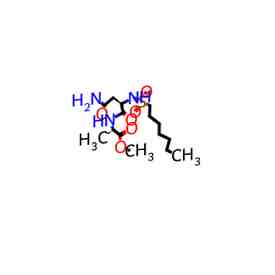 CCCCCCCS(=O)(=O)N[C@H](CC(N)=O)C(=O)N[C@@H](C)C(=O)OC